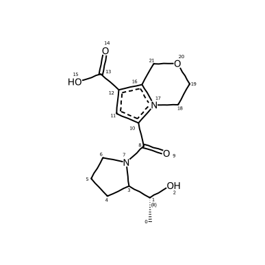 C[C@@H](O)C1CCCN1C(=O)c1cc(C(=O)O)c2n1CCOC2